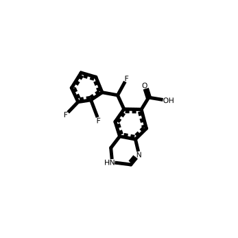 O=C(O)c1cc2c(cc1C(F)c1cccc(F)c1F)CNC=N2